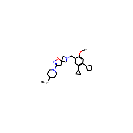 CC(C)Oc1cc(C2CCC2)c(C2CC2)cc1CN1CC2(CC(N3CCC(C(=O)O)CC3)=NO2)C1